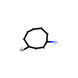 NC1CCCCCC(N=O)CC1